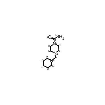 BC(=O)N1CCN(CN2CCCCC2)CC1